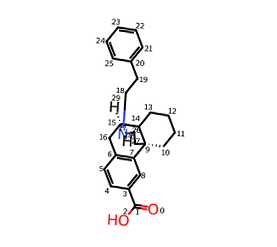 O=C(O)c1ccc2c(c1)[C@]13CCCC[C@@H]1[C@H](C2)N(CCc1ccccc1)CC3